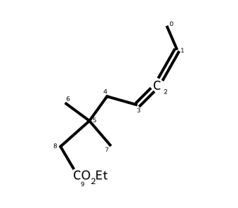 CC=C=CCC(C)(C)CC(=O)OCC